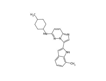 Cc1cccc2cc(-c3cnc4ccc(NC5CCC(C)CC5)nn34)[nH]c12